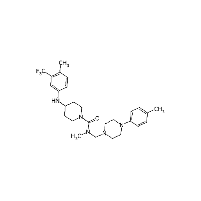 Cc1ccc(N2CCN(CN(C)C(=O)N3CCC(Nc4ccc(C)c(C(F)(F)F)c4)CC3)CC2)cc1